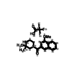 COc1nc(C(=O)N2CCNC(C)(C)C2)cc2ccccc12.O=C(O)C(F)(F)F